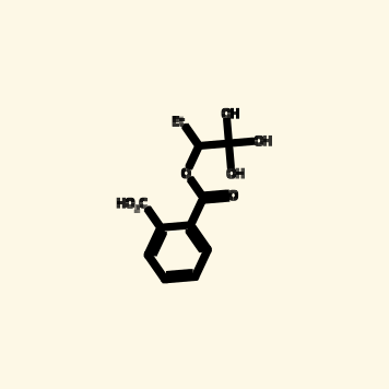 CCC(OC(=O)c1ccccc1C(=O)O)C(O)(O)O